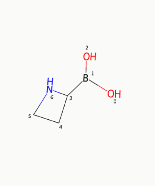 OB(O)C1CCN1